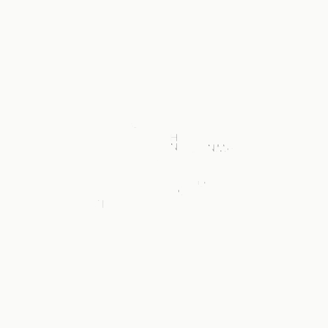 CNC(=O)Nc1c(Cl)cc(Cl)cc1Cl